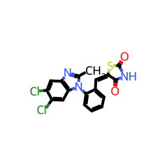 Cc1nc2cc(Cl)c(Cl)cc2n1-c1ccccc1C=C1SC(=O)NC1=O